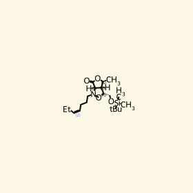 CC/C=C\CCCN1O[C@@H](CO[Si](C)(C)C(C)(C)C)[C@H]2[C@H](C)OC(=O)[C@H]21